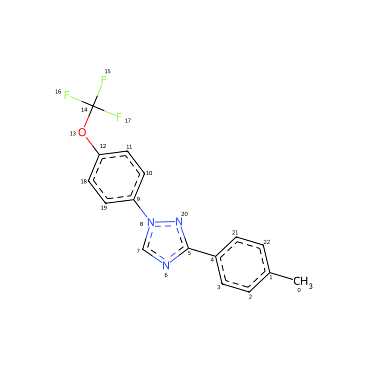 Cc1ccc(-c2ncn(-c3ccc(OC(F)(F)F)cc3)n2)cc1